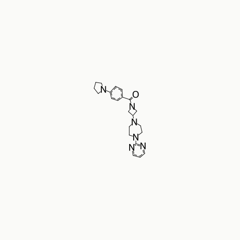 O=C(c1ccc(N2CCCC2)cc1)N1CC(N2CCN(c3ncccn3)CC2)C1